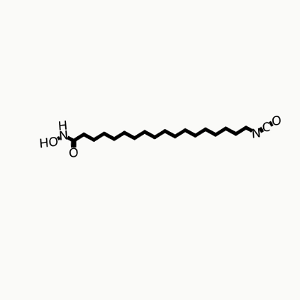 O=C=NCCCCCCCCCCCCCCCCCC(=O)NO